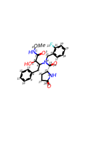 CONC(=O)C(O)C(Cc1ccccc1)N(Cc1ccccc1F)C(=O)[C@H]1CCC(=O)N1